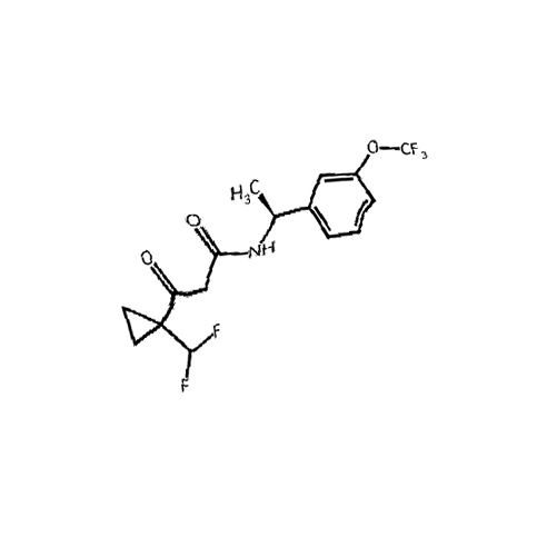 C[C@H](NC(=O)CC(=O)C1(C(F)F)CC1)c1cccc(OC(F)(F)F)c1